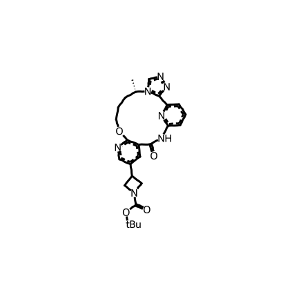 C[C@H]1CCCOc2ncc(C3CN(C(=O)OC(C)(C)C)C3)cc2C(=O)Nc2cccc(n2)-c2nncn21